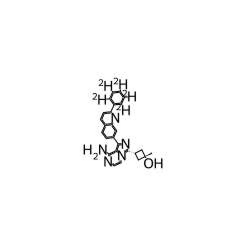 [2H]c1c([2H])c([2H])c(-c2ccc3ccc(-c4nc([C@H]5C[C@@](C)(O)C5)n5ccnc(N)c45)cc3n2)c([2H])c1[2H]